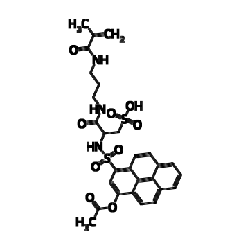 C=C(C)C(=O)NCCCNC(=O)C(CS(=O)(=O)O)NS(=O)(=O)c1cc(OC(C)=O)c2ccc3cccc4ccc1c2c34